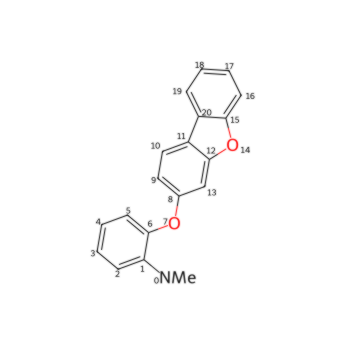 CNc1ccccc1Oc1ccc2c(c1)oc1ccccc12